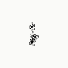 COC(=O)CCCC[C@@H](CCOS(C)(=O)=O)OS(C)(=O)=O